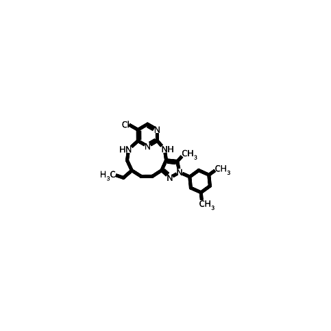 CCC1CCc2nn(C3CC(C)CC(C)C3)c(C)c2Nc2ncc(Cl)c(n2)NC1